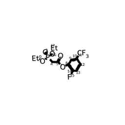 CCOP(=O)(CC(=O)Oc1cc(C(F)(F)F)ccc1F)OCC